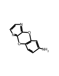 Nc1ccc2c(c1)Oc1nccnc1O2